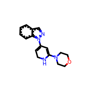 C1=C(N2CCOCC2)NCC=C1n1ncc2ccccc21